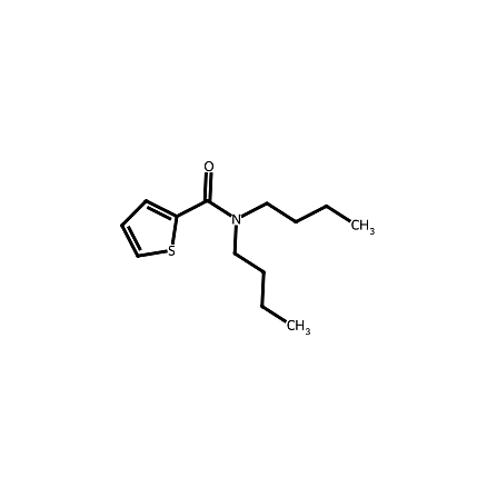 CCCCN(CCCC)C(=O)c1cccs1